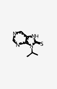 CC(C)n1c(=S)[nH]c2cncnc21